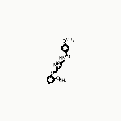 COc1ccc(C(=O)NCc2cc(COc3ccccc3OC)no2)cc1